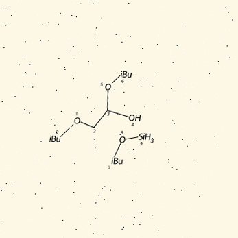 CCC(C)OCC(O)OC(C)CC.CCC(C)O[SiH3]